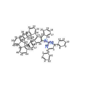 c1ccc(-c2cc(-c3ccccc3)nc(-n3c4ccccc4c4c5c(ccc43)C3(c4ccccc4-5)c4ccccc4C4(c5ccccc5-c5ccccc54)c4ccccc43)n2)cc1